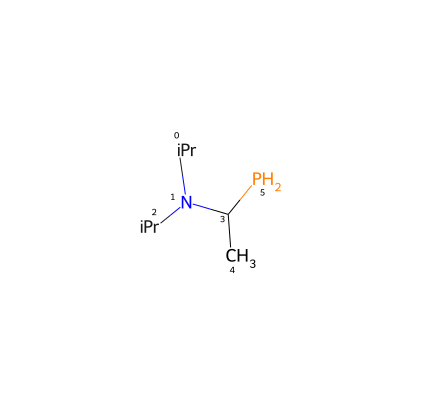 CC(C)N(C(C)C)C(C)P